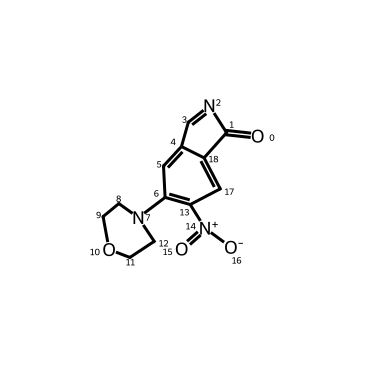 O=C1N=Cc2cc(N3CCOCC3)c([N+](=O)[O-])cc21